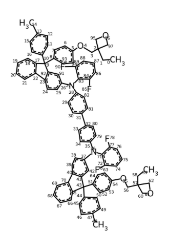 CCC1(COc2ccc(C3(c4ccc(C)cc4)c4ccccc4-c4ccc(N(c5ccc(-c6ccc(N(c7ccc8c(c7)C(c7ccc(C)cc7)(c7ccc(OCC9(CC)COC9)cc7)c7ccccc7-8)c7c(F)cccc7F)cc6)cc5)c5c(F)cccc5F)cc43)cc2)COC1